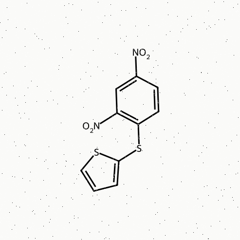 O=[N+]([O-])c1ccc(Sc2cccs2)c([N+](=O)[O-])c1